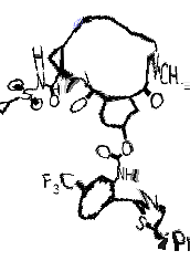 CC(C)c1cnc(-c2ccc(C(F)(F)F)cc2NC(=O)OC2CC3C(=O)NC4(C(=O)NS(=O)(=O)C5CC5)CC4/C=C\CCCCN(C)C(=O)C3C2)s1